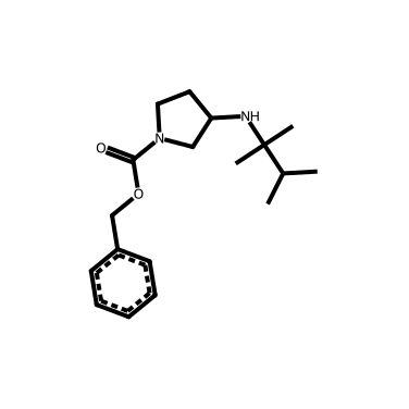 CC(C)C(C)(C)NC1CCN(C(=O)OCc2ccccc2)C1